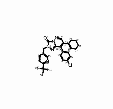 O=c1n(Cc2ccc(C(F)(F)F)nc2)nc2c(-c3ccc(Cl)cc3)c(C3=CCCCC3)cnn12